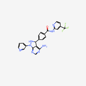 Nc1ncnc2c1C(c1ccc(C(=O)Nc3cc(C(F)(F)F)ccn3)cc1)NN2c1cccnc1